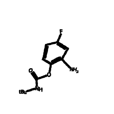 CC(C)(C)NC(=O)Oc1ccc(F)cc1N